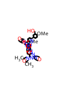 COc1ccc(-c2ccc3c(N4CC5COC(C4)C5OCc4cc(-c5ccc6c(N7C[C@@H](C)O[C@@H](C)C7)nc(N7C8CCC7COC8)nc6n5)ccc4OC)nc(N4C5CCC4COC5)nc3n2)cc1CO